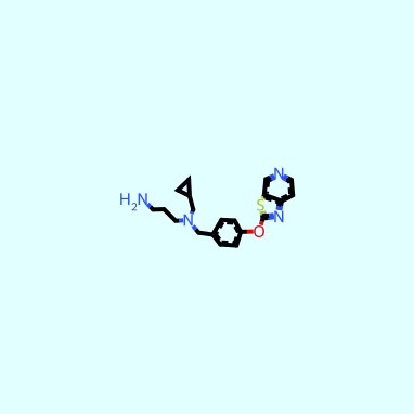 NCCCN(Cc1ccc(Oc2nc3ccncc3s2)cc1)CC1CC1